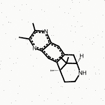 Cc1nc2cc3c(cc2nc1C)[C@]1(C)CCN[C@H](C3)C1(C)C